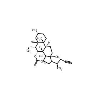 CC[C@H]1[C@@H](OC(C)=O)[C@@H]2[C@H](CC[C@]3(C)[C@@H]([C@H](C)CC#N)CC[C@@H]23)[C@@]2(C)CC[C@@H](O)C[C@@H]12